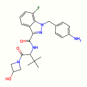 CC(C)(C)C(NC(=O)c1nn(Cc2ccc(N)cc2)c2c(F)cccc12)C(=O)N1CC(O)C1